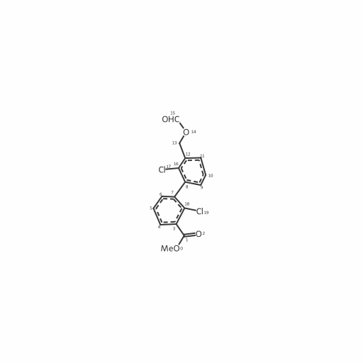 COC(=O)c1cccc(-c2cccc(COC=O)c2Cl)c1Cl